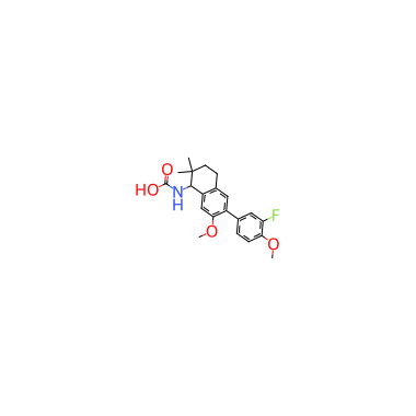 COc1ccc(-c2cc3c(cc2OC)C(NC(=O)O)C(C)(C)CC3)cc1F